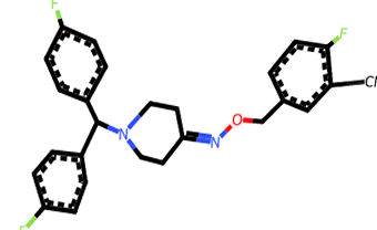 N#Cc1cc(CON=C2CCN(C(c3ccc(F)cc3)c3ccc(F)cc3)CC2)ccc1F